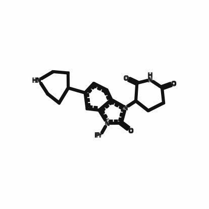 CC(C)n1c(=O)n(C2CCC(=O)NC2=O)c2ccc(C3CCNCC3)cc21